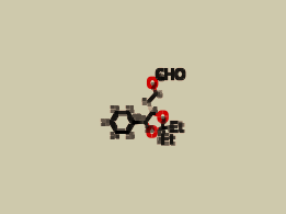 CCC1(CC)O[C@@H](CCOC=O)[C@H](c2ccccc2)O1